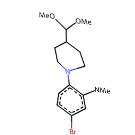 CNc1cc(Br)ccc1N1CCC(C(OC)OC)CC1